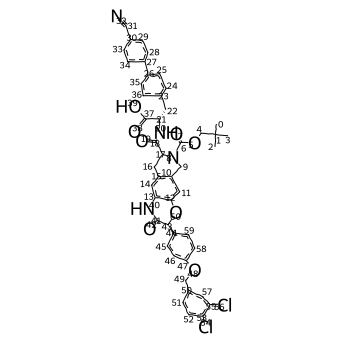 CC(C)(C)COC(=O)N1Cc2cc3c(cc2CC1C(=O)N[C@@H](Cc1ccc(-c2ccc(C#N)cc2)cc1)C(=O)O)NC(=O)[C@H](c1ccc(OCc2ccc(Cl)c(Cl)c2)cc1)O3